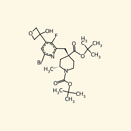 C[C@@H]1C[C@](Cc2nc(Br)cc(C3(O)COC3)c2F)(C(=O)OC(C)(C)C)CCN1C(=O)OC(C)(C)C